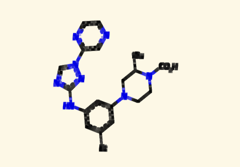 CCc1cc(Nc2ncn(-c3cnccn3)n2)cc(N2CCN(C(=O)O)C(C(C)(C)C)C2)c1